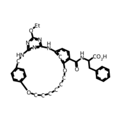 CCOc1nc2nc(n1)Nc1ccc(C(=O)NC(Cc3ccccc3)C(=O)O)c(c1)OCCCCCCOc1ccc(cc1)CN2